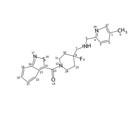 Cc1ccc(CNCC2(F)CCN(C(=O)c3snc4ccccc34)CC2)nc1